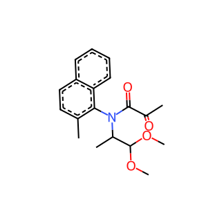 COC(OC)C(C)N(C(=O)C(C)=O)c1c(C)ccc2ccccc12